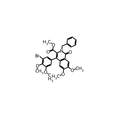 COC(=O)c1c(-c2cc(Br)c(OC)c(OC)c2)c2cc(OC)c(OC)cc2c(=O)n1Cc1ccccc1